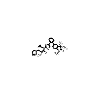 CN1C(=O)C(C)(C)c2cc(-c3ccccc3-c3csc(N(C(=O)[C@@H](CC(=O)O)CC4CCCC4)C4CC4)n3)cnc21